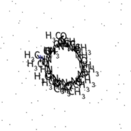 C/C=C/C[C@@H](C)CC1NC(=O)C(C(C)C)NC(=O)[C@H](CC(C)C)NC(=O)[C@@H](CC(C)C)N(C)C(=O)[C@@H](C)NC(=O)[C@H](C)NC(=O)CNC(=O)C(C(C)C)NC(=O)C([C@@H](C)OC(C)=O)N(C)C(=O)CNC(=O)[C@H](CC)NC1=O